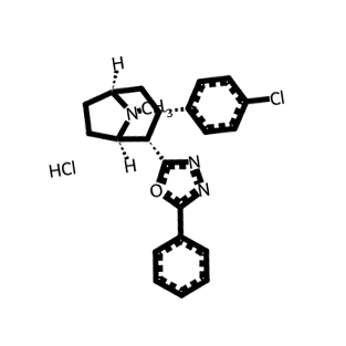 CN1[C@H]2CC[C@@H]1[C@@H](c1nnc(-c3ccccc3)o1)[C@@H](c1ccc(Cl)cc1)C2.Cl